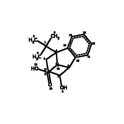 CC(C)(C)C12CCC(O)C(c3ccccc31)N2C(=O)O